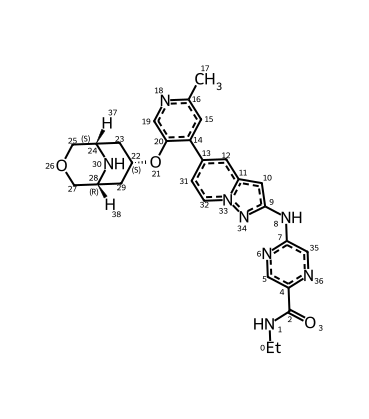 CCNC(=O)c1cnc(Nc2cc3cc(-c4cc(C)ncc4O[C@H]4C[C@H]5COC[C@@H](C4)N5)ccn3n2)cn1